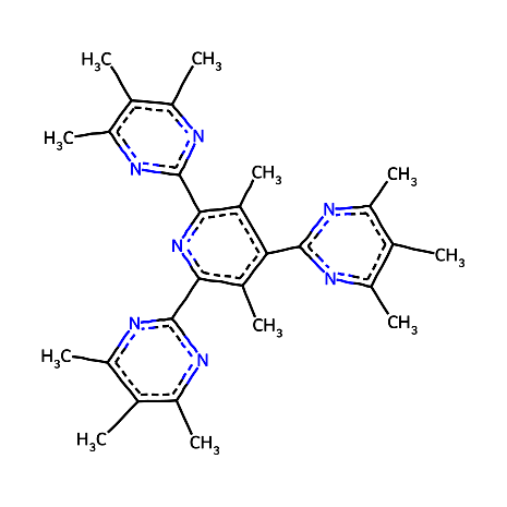 Cc1nc(-c2nc(-c3nc(C)c(C)c(C)n3)c(C)c(-c3nc(C)c(C)c(C)n3)c2C)nc(C)c1C